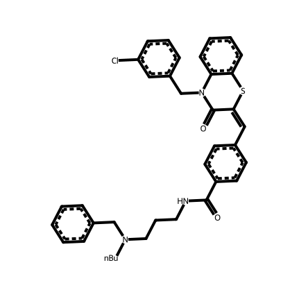 CCCCN(CCCNC(=O)c1ccc(C=C2Sc3ccccc3N(Cc3cccc(Cl)c3)C2=O)cc1)Cc1ccccc1